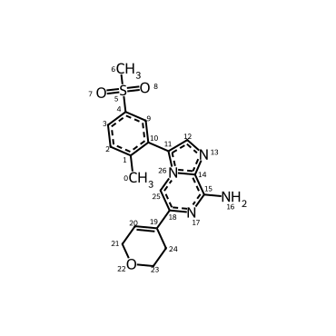 Cc1ccc(S(C)(=O)=O)cc1-c1cnc2c(N)nc(C3=CCOCC3)cn12